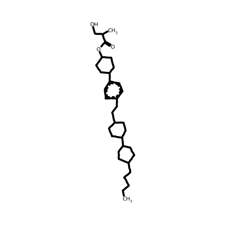 CCCCCC1CCC(C2CCC(CCc3ccc(C4CCC(OC(=O)C(C)CO)CC4)cc3)CC2)CC1